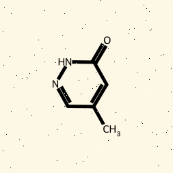 Cc1[c]n[nH]c(=O)c1